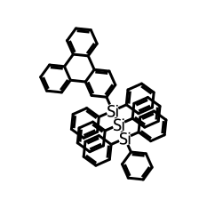 c1ccc([Si](c2ccccc2)(c2ccccc2)[Si](c2ccccc2)(c2ccccc2)[Si](c2ccccc2)(c2ccccc2)c2ccc3c4ccccc4c4ccccc4c3c2)cc1